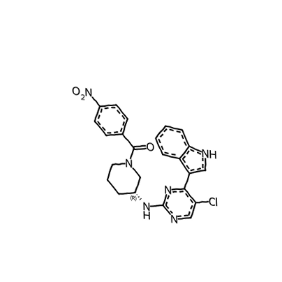 O=C(c1ccc([N+](=O)[O-])cc1)N1CCC[C@@H](Nc2ncc(Cl)c(-c3c[nH]c4ccccc34)n2)C1